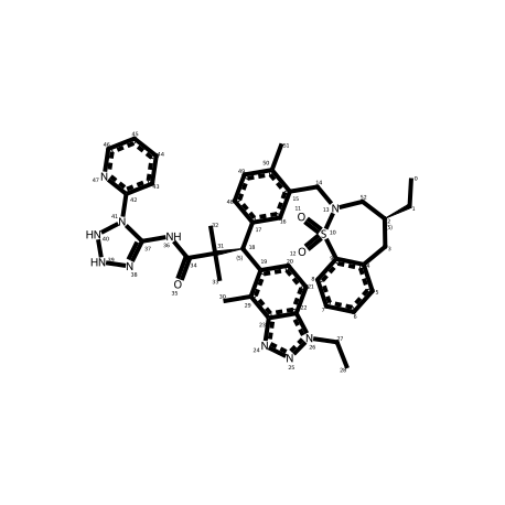 CC[C@H]1Cc2ccccc2S(=O)(=O)N(Cc2cc([C@@H](c3ccc4c(nnn4CC)c3C)C(C)(C)C(=O)NC3=NNNN3c3ccccn3)ccc2C)C1